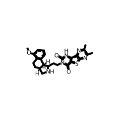 COc1cccc2c1CC[C@H]1CNC(CCn3c(=O)[nH]c4c(sc5nc(C)c(C)nc54)c3=O)[C@@H]21